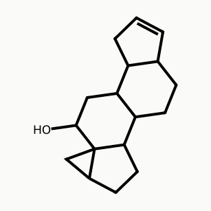 OC1CC2C3CC=CC3CCC2C2CCC3CC132